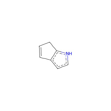 C1=Cc2cc[nH]c2C1